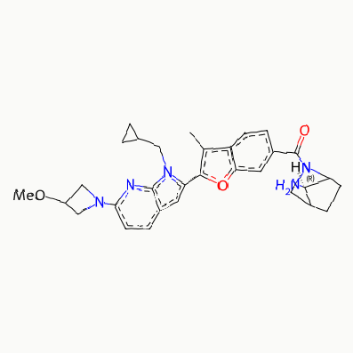 COC1CN(c2ccc3cc(-c4oc5cc(C(=O)N6CC7CCC6[C@@H]7N)ccc5c4C)n(CC4CC4)c3n2)C1